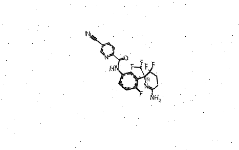 N#Cc1ccc(C(=O)Nc2ccc(F)c([C@@]3(C(F)F)N=C(N)CCC3(F)F)c2)nc1